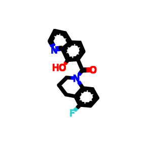 O=C(c1ccc2cccnc2c1O)N1CCCc2c(F)cccc21